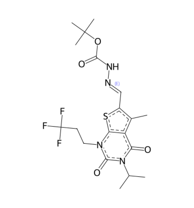 Cc1c(/C=N/NC(=O)OC(C)(C)C)sc2c1c(=O)n(C(C)C)c(=O)n2CCC(F)(F)F